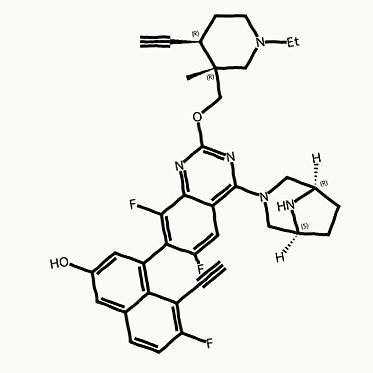 C#Cc1c(F)ccc2cc(O)cc(-c3c(F)cc4c(N5C[C@H]6CC[C@@H](C5)N6)nc(OC[C@@]5(C)CN(CC)CC[C@@H]5C#C)nc4c3F)c12